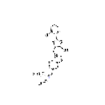 CCOC(=O)/C(=C\c1ccc2c(ccn2Cc2nc(-c3ccccc3Cl)oc2C)c1)OCC